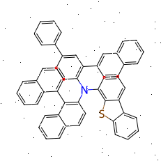 c1ccc(-c2ccc(N(c3ccc4ccccc4c3-c3cccc4ccccc34)c3cccc4c3sc3ccccc34)c(-c3ccc4ccccc4c3)c2)cc1